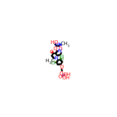 CNC(=O)C(CO)Oc1ncc(Cl)c2c1c(=O)cc(C)n2-c1c(Cl)cc(OCCOP(=O)(O)O)cc1Cl